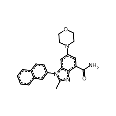 Cc1nc2c(C(N)=O)cc(N3CCOCC3)cc2n1-c1ccc2ccccc2c1